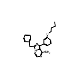 CCCCOc1cccc(-c2nc(Cc3ccccc3)n3ccnc(N)c23)c1